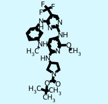 CNc1cccc(Nc2nc(Nc3ccc(NC4CCN(C(=O)OC(C)(C)C)C4)nc3OC)ncc2C(F)(F)F)c1